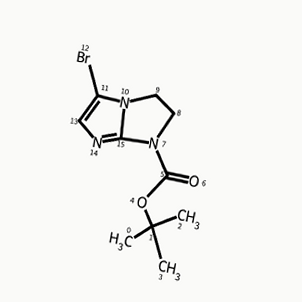 CC(C)(C)OC(=O)N1CCn2c(Br)cnc21